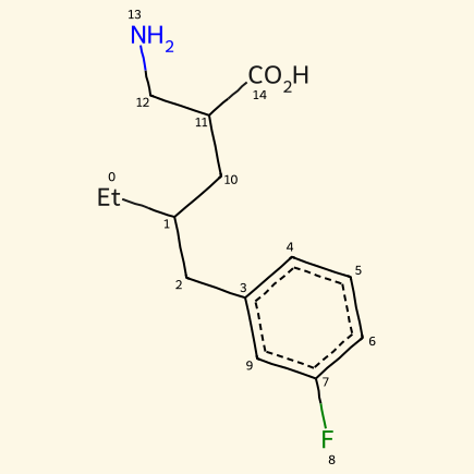 CCC(Cc1cccc(F)c1)CC(CN)C(=O)O